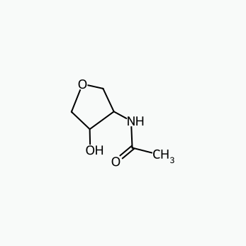 CC(=O)NC1COCC1O